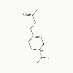 CC(=O)CCC1=CC[C@H](C(C)C)CC1